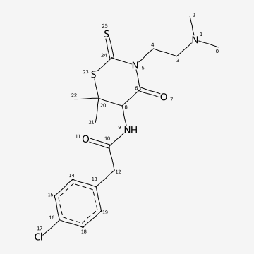 CN(C)CCN1C(=O)C(NC(=O)Cc2ccc(Cl)cc2)C(C)(C)SC1=S